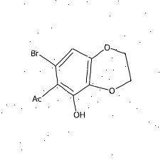 CC(=O)c1c(Br)cc2c(c1O)OCCO2